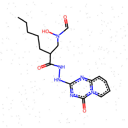 CCCCCC(CN(O)C=O)C(=O)NNc1nc(=O)n2ccccc2n1